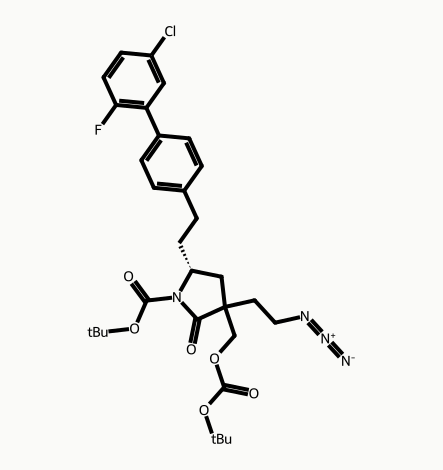 CC(C)(C)OC(=O)OCC1(CCN=[N+]=[N-])C[C@@H](CCc2ccc(-c3cc(Cl)ccc3F)cc2)N(C(=O)OC(C)(C)C)C1=O